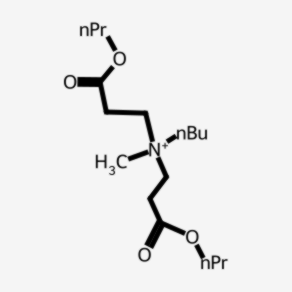 CCCC[N+](C)(CCC(=O)OCCC)CCC(=O)OCCC